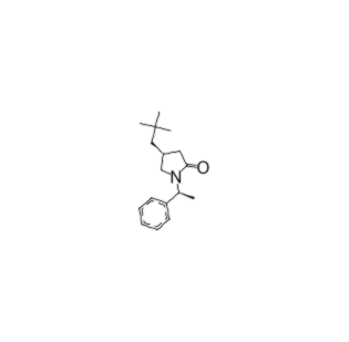 C[C@@H](c1ccccc1)N1C[C@@H](CC(C)(C)C)CC1=O